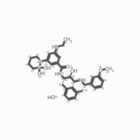 CCNc1cc(C(=O)N[C@@H](Cc2cccc(F)c2)[C@@H](O)CNCc2cccc(OC)c2)cc(N2CCCCS2(O)O)c1.Cl